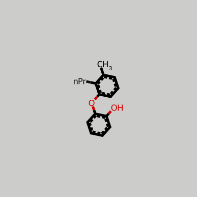 CCCc1c(C)cccc1Oc1ccccc1O